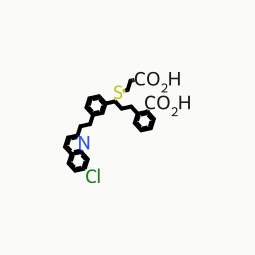 O=C(O)CCSC(CCc1ccccc1C(=O)O)c1cccc(CCc2ccc3ccc(Cl)cc3n2)c1